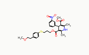 COCCc1ccc(SCCCOC(=O)C2=C(C)NC(C)=C(C(=O)OC)C2c2cccc([N+](=O)[O-])c2)cc1